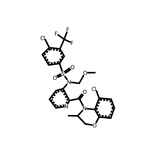 COCN(c1cccnc1C(=O)N1c2c(Cl)cccc2OCC1C)S(=O)(=O)c1ccc(Cl)c(C(F)(F)F)c1